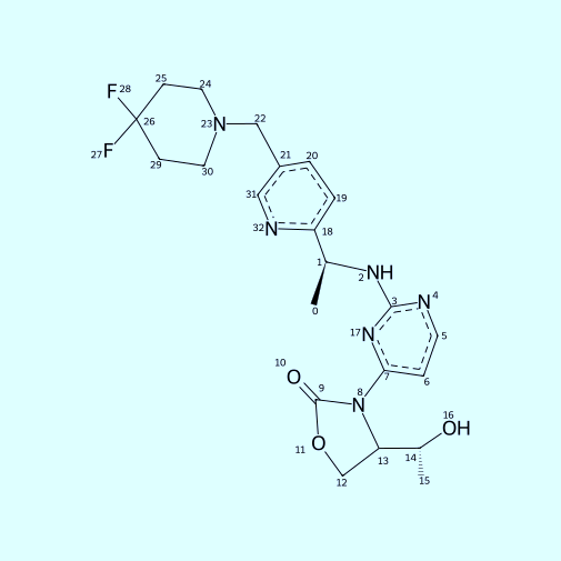 C[C@H](Nc1nccc(N2C(=O)OCC2[C@@H](C)O)n1)c1ccc(CN2CCC(F)(F)CC2)cn1